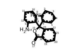 Nc1ccccc1C1(c2ccccc2N)OC(=O)c2ccccc21